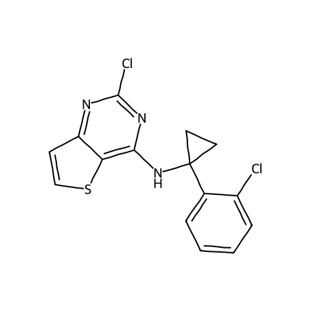 Clc1nc(NC2(c3ccccc3Cl)CC2)c2sccc2n1